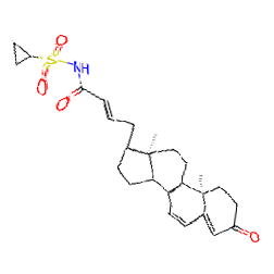 C[C@]12CCC3C(C=CC4=CC(=O)CC[C@@]43C)C1CCC2C/C=C/C(=O)NS(=O)(=O)C1CC1